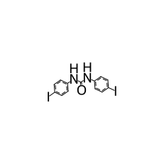 O=C(Nc1ccc(I)cc1)Nc1ccc(I)cc1